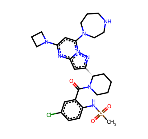 CS(=O)(=O)Nc1ccc(Cl)cc1C(=O)N1CCCC[C@H]1c1cc2nc(N3CCC3)cc(N3CCCNCC3)n2n1